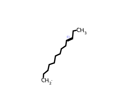 [CH2]CCCCCCCC/C=C/CC